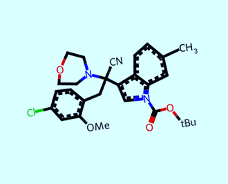 COc1cc(Cl)ccc1CC(C#N)(c1cn(C(=O)OC(C)(C)C)c2cc(C)ccc12)N1CCOCC1